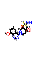 COc1cccc2c(N3CCC(O)(C[S@@](C)(=N)=O)CC3)ncnc12